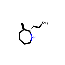 C=C1CCCCN[C@H]1CCSC